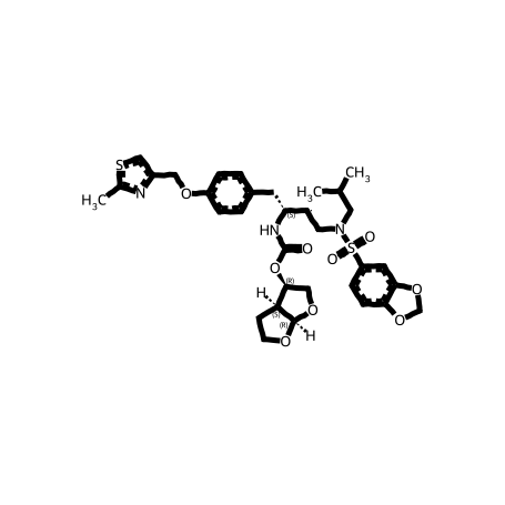 Cc1nc(COc2ccc(C[C@H]([CH]CN(CC(C)C)S(=O)(=O)c3ccc4c(c3)OCO4)NC(=O)O[C@H]3CO[C@H]4OCC[C@H]43)cc2)cs1